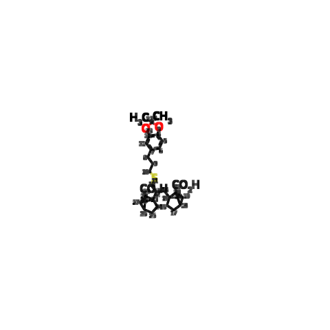 CC1(C)Oc2ccc(CCCSCC(CC34CCC(C=C3C(=O)O)C4)C34CCC(C=C3C(=O)O)C4)cc2O1